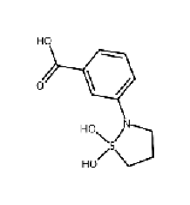 O=C(O)c1cccc(N2CCCS2(O)O)c1